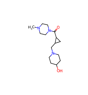 CN1CCN(C(=O)C2CC2CN2CCC(O)CC2)CC1